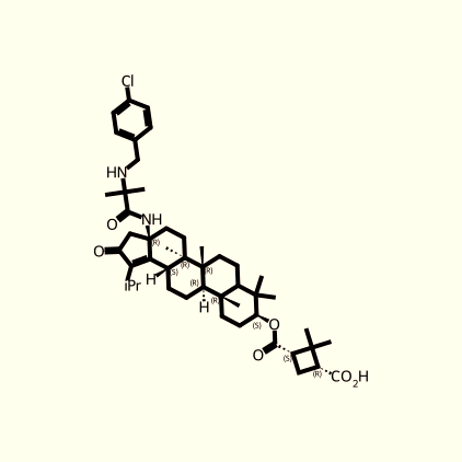 CC(C)C1=C2[C@H]3CC[C@@H]4[C@@]5(C)CC[C@H](OC(=O)[C@H]6C[C@@H](C(=O)O)C6(C)C)C(C)(C)C5CC[C@@]4(C)[C@]3(C)CC[C@@]2(NC(=O)C(C)(C)NCc2ccc(Cl)cc2)CC1=O